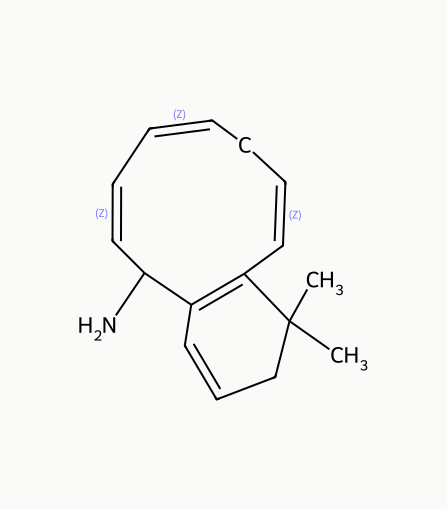 CC1(C)CC=CC2=C1/C=C\C/C=C\C=C/C2N